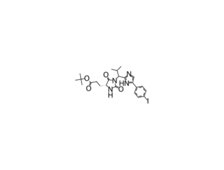 CC(C)C(c1ncc(-c2ccc(I)cc2)[nH]1)N1C(=O)N[C@H](CCC(=O)OC(C)(C)C)C1=O